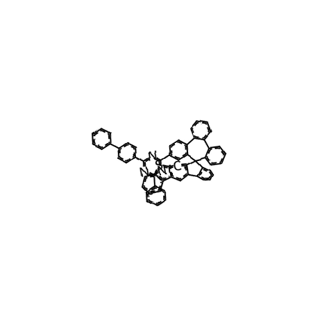 c1ccc(-c2ccc(-c3nc(-c4ccccc4)nc(-c4ccc5c(c4)C4(c6ccccc6-c6ccccc6-5)c5ccccc5-c5cc6c(cc54)sc4ccccc46)n3)cc2)cc1